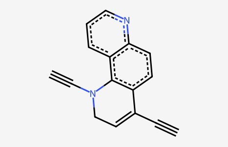 C#CC1=CCN(C#C)c2c1ccc1ncccc21